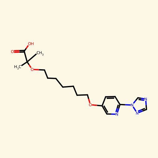 CC(C)(OCCCCCCCOc1ccc(-n2cncn2)nc1)C(=O)O